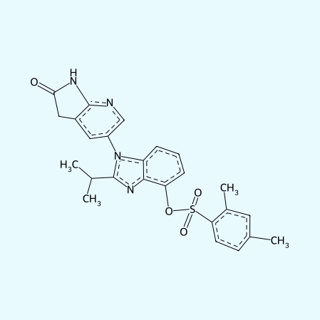 Cc1ccc(S(=O)(=O)Oc2cccc3c2nc(C(C)C)n3-c2cnc3c(c2)CC(=O)N3)c(C)c1